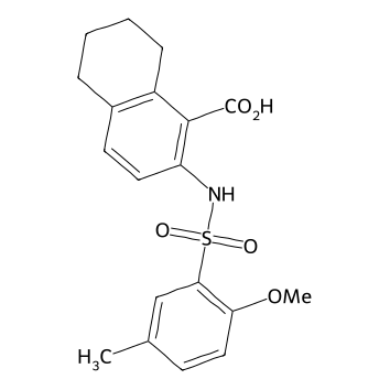 COc1ccc(C)cc1S(=O)(=O)Nc1ccc2c(c1C(=O)O)CCCC2